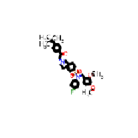 COc1ccc(CN(c2ccc(F)cc2)S(=O)(=O)c2ccc3c(c2)CCN(CC(=O)c2ccc(C(C)(C)C)cc2)C3)c(OC)c1